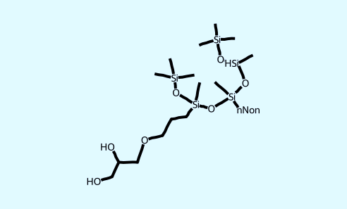 CCCCCCCCC[Si](C)(O[SiH](C)O[Si](C)(C)C)O[Si](C)(CCCOCC(O)CO)O[Si](C)(C)C